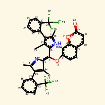 CC1=N/C(=C(/Oc2ccc3ccc(=O)oc3c2)c2[nH]c(C)c(-c3ccccc3C(F)(F)F)c2C)C(C)=C1c1ccccc1C(F)(F)F